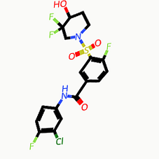 O=C(Nc1ccc(F)c(Cl)c1)c1ccc(F)c(S(=O)(=O)N2CCC(O)C(F)(F)C2)c1